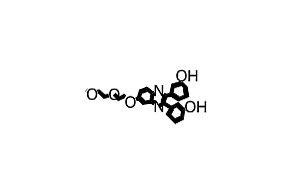 COCCOCCOc1ccc2nc(-c3cccc(O)c3)c(-c3cccc(O)c3)nc2c1